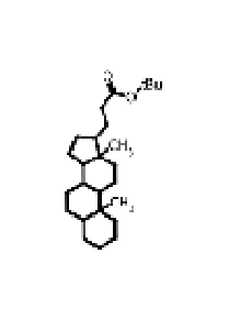 CC(C)(C)OC(=O)CCC1CCC2C3CCC4CCCCC4(C)C3CCC12C